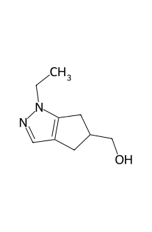 CCn1ncc2c1CC(CO)C2